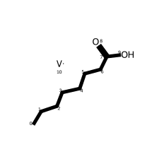 CCCCCCCC(=O)O.[V]